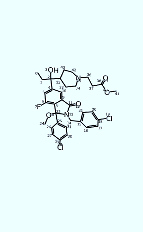 CCC(O)(c1cc(F)c2c(c1)C(=O)N(Cc1ccc(Cl)cc1)C2(OC)c1ccc(Cl)cc1)C1CCN(CCC(=O)OC)CC1